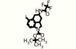 CC(C)(C)OC(=O)N1CC2CC(NC(=O)C(F)(F)F)Cc3c(I)ccc1c32